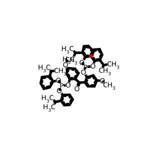 COc1ccc(C(=O)c2ccc(OC)cc2OP(Oc2ccccc2C(C)C)Oc2ccccc2C(C)C)c(OP(Oc2ccccc2C(C)C)Oc2ccccc2C(C)C)c1